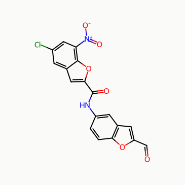 O=Cc1cc2cc(NC(=O)c3cc4cc(Cl)cc([N+](=O)[O-])c4o3)ccc2o1